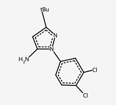 CC(C)(C)c1cc(N)n(-c2ccc(Cl)c(Cl)c2)n1